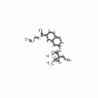 CCOCOC(=O)C1CCC2CCC(OC(=O)C3(CC(C)(C)C)CC3(C)C)CC2C1